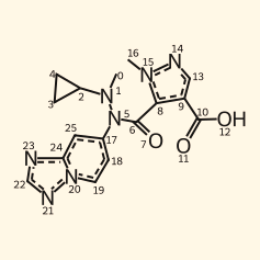 CN(C1CC1)N(C(=O)c1c(C(=O)O)cnn1C)c1ccn2ncnc2c1